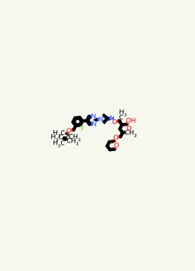 CC(COC1CCCCO1)CC(C(=O)O)C(C)ON=C1CN(c2ncc(-c3cccc(CO[Si](C)(C)C(C)(C)C)c3F)cn2)C1